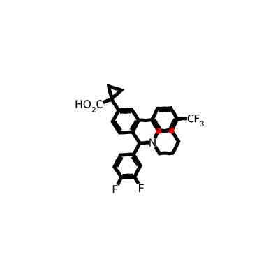 O=C(O)C1(c2ccc(C(c3ccc(F)c(F)c3)N3CCCCC3)c(-c3ccc(C(F)(F)F)cc3)c2)CC1